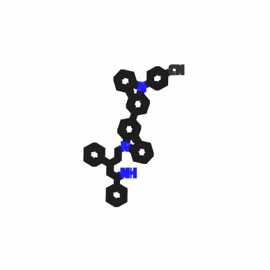 N#Cc1ccc(-n2c3ccccc3c3cc(-c4ccc5c(c4)c4ccccc4n5/C=C/C(=C\C(=N)c4ccccc4)c4ccccc4)ccc32)cc1